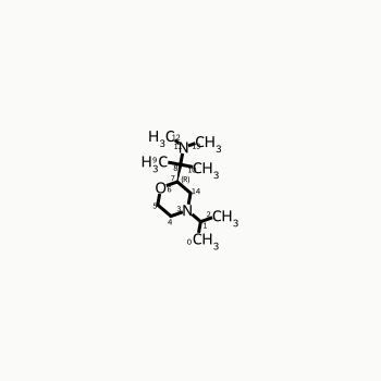 CC(C)N1CCO[C@@H](C(C)(C)N(C)C)C1